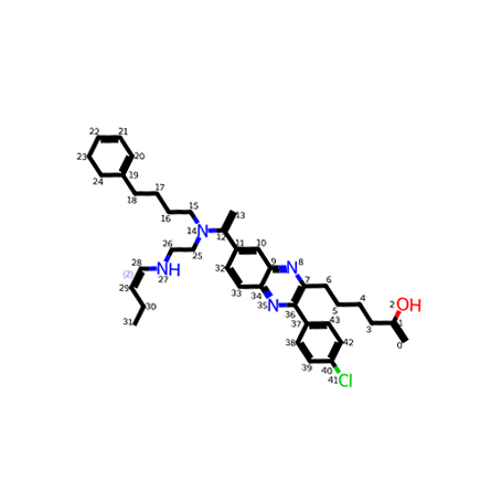 C=C(O)CCCCc1nc2cc(C(=C)N(CCCCC3=CC=CCC3)CCN/C=C\CC)ccc2nc1-c1ccc(Cl)cc1